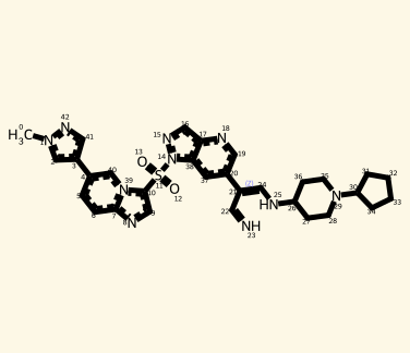 Cn1cc(-c2ccc3ncc(S(=O)(=O)n4ncc5ncc(/C(C=N)=C/NC6CCN(C7CCCC7)CC6)cc54)n3c2)cn1